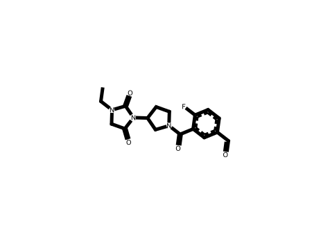 CCN1CC(=O)N(C2CCN(C(=O)c3cc(C=O)ccc3F)C2)C1=O